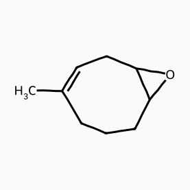 CC1=CCC2OC2CCC1